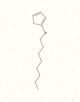 CCCCCCC[CH2][Zr][C]1=CC=CC1